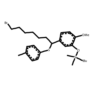 CCC(C)[Si](C)(C)Oc1cc(C(CCCCCCBr)Sc2ccc(C)cc2)ccc1OC